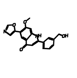 COc1cc2[nH]c(-c3cccc(CO)c3)cc(=O)c2cc1-c1cnco1